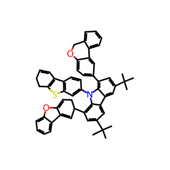 CC(C)(C)c1cc(-c2ccc3c(c2)-c2ccccc2CO3)c2c(c1)c1cc(C(C)(C)C)cc(C3C=c4c(oc5ccccc45)=CC3)c1n2-c1ccc2c3c(sc2c1)CCC=C3